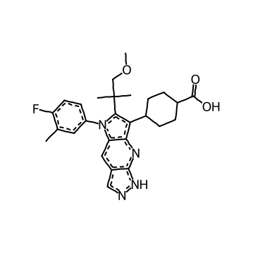 COCC(C)(C)c1c(C2CCC(C(=O)O)CC2)c2nc3[nH]ncc3cc2n1-c1ccc(F)c(C)c1